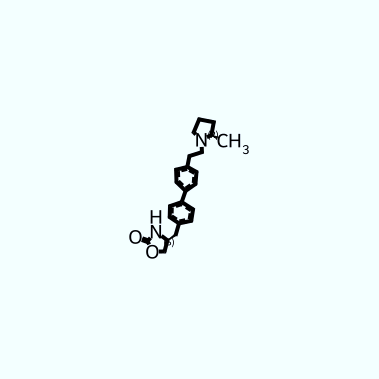 C[C@@H]1CCCN1CCc1ccc(-c2ccc(C[C@H]3COC(=O)N3)cc2)cc1